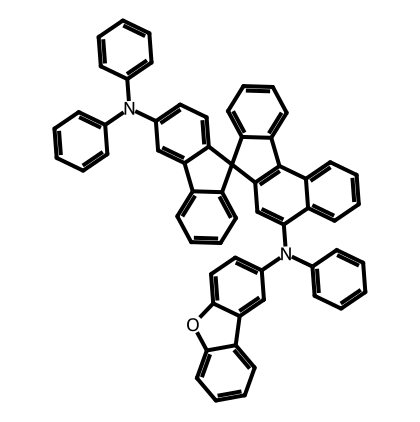 c1ccc(N(c2ccccc2)c2ccc3c(c2)-c2ccccc2C32c3ccccc3-c3c2cc(N(c2ccccc2)c2ccc4oc5ccccc5c4c2)c2ccccc32)cc1